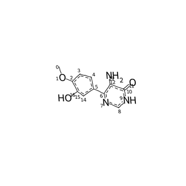 COc1ccc(-c2nc[nH]c(=O)c2N)cc1O